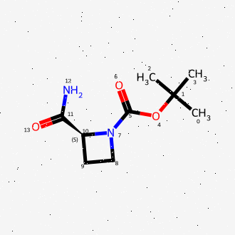 CC(C)(C)OC(=O)N1CC[C@H]1C(N)=O